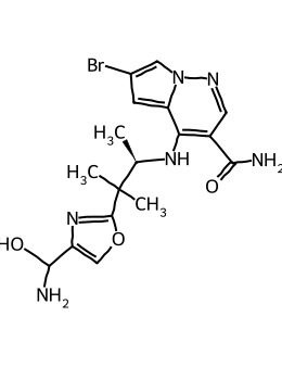 C[C@@H](Nc1c(C(N)=O)cnn2cc(Br)cc12)C(C)(C)c1nc(C(N)O)co1